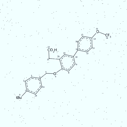 CC(C)(C)c1ccc(COc2ccc(-c3ccc(OC(F)(F)F)cc3)cc2CC(=O)O)cc1